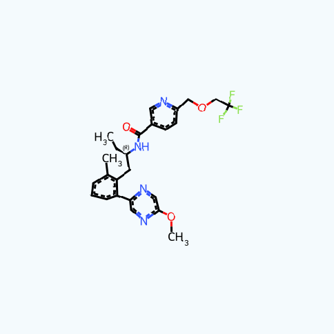 CC[C@H](Cc1c(C)cccc1-c1cnc(OC)cn1)NC(=O)c1ccc(COCC(F)(F)F)nc1